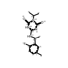 Cc1ccc(F)c([C@H](C)Nc2nc(=O)n(C(C)C)c(=O)[nH]2)c1